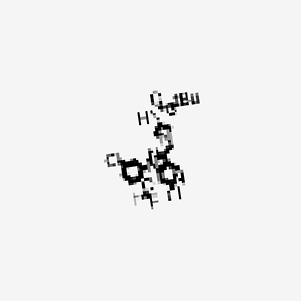 CC(C)(C)OC(=O)NC1CN(Cc2nn(-c3cc(Cl)ccc3OC(F)F)c3cc(Cl)ncc23)C1